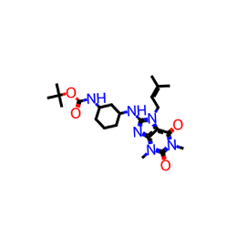 CC(C)=CCn1c(NC2CCCC(NC(=O)OC(C)(C)C)C2)nc2c1c(=O)n(C)c(=O)n2C